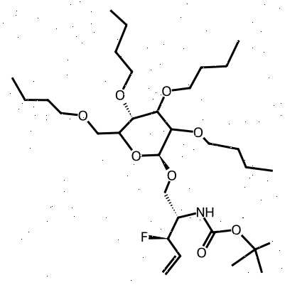 C=C[C@@H](F)[C@H](CO[C@H]1OC(COCCCC)[C@H](OCCCC)C(OCCCC)C1OCCCC)NC(=O)OC(C)(C)C